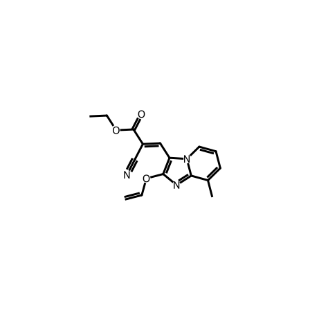 C=COc1nc2c(C)cccn2c1C=C(C#N)C(=O)OCC